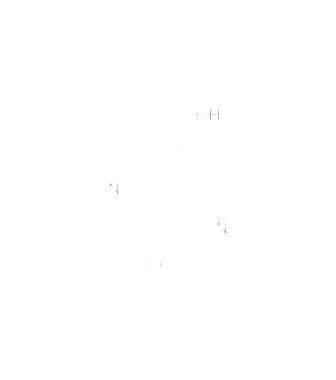 CN(C)C1OCCNC1C(C)(C)O